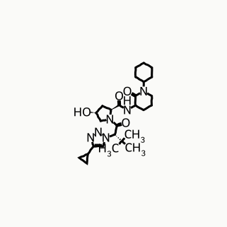 CC(C)(C)[C@@H](C(=O)N1C[C@H](O)C[C@H]1C(=O)NC1CCCN(C2CCCCC2)C1=O)n1cc(C2CC2)nn1